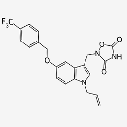 C=CCn1cc(Cn2oc(=O)[nH]c2=O)c2cc(OCc3ccc(C(F)(F)F)cc3)ccc21